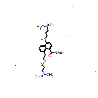 CNC(=O)c1ccc(NCCCN(C)C)c2cccc(CCSSCCN(C)C=O)c12